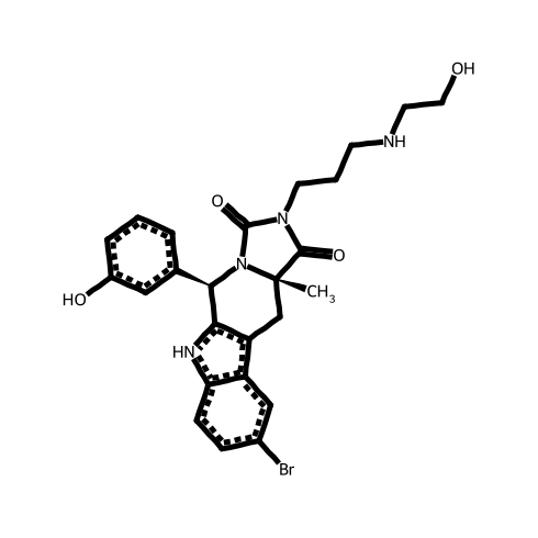 C[C@@]12Cc3c([nH]c4ccc(Br)cc34)[C@@H](c3cccc(O)c3)N1C(=O)N(CCCNCCO)C2=O